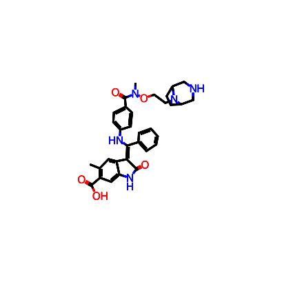 Cc1cc2c(cc1C(=O)O)NC(=O)/C2=C(/Nc1ccc(C(=O)N(C)OCCN2C3CCC2CNC3)cc1)c1ccccc1